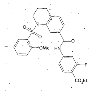 CCOC(=O)c1ccc(NC(=O)c2ccc3c(c2)N(S(=O)(=O)c2cc(C)ccc2OC)CCC3)cc1F